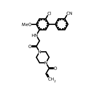 C=CC(=O)N1CCN(C(=O)CNc2cc(-c3cccc(C#N)c3)c(Cl)cc2OC)CC1